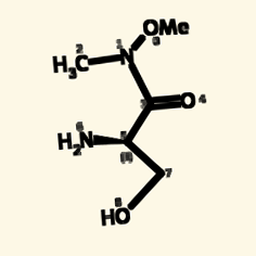 CON(C)C(=O)[C@H](N)CO